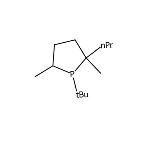 CCCC1(C)CCC(C)P1C(C)(C)C